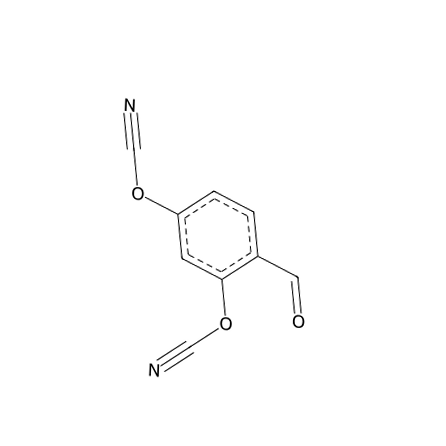 N#COc1ccc(C=O)c(OC#N)c1